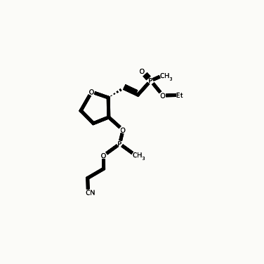 CCOP(C)(=O)/C=C/[C@H]1OCCC1OP(C)OCCC#N